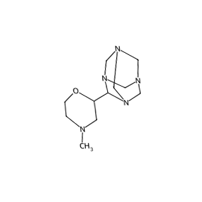 CN1CCOC(C2N3CN4CN(C3)CN2C4)C1